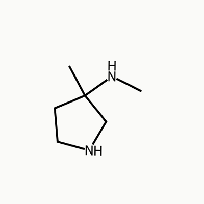 CNC1(C)CCNC1